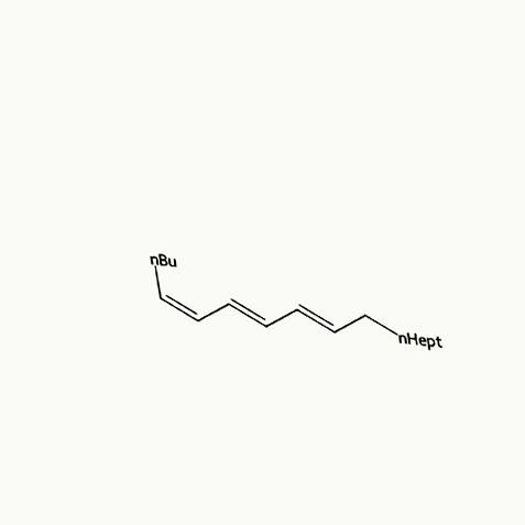 [CH2]CCCCCCC/C=C/C=C/C=C\CCCC